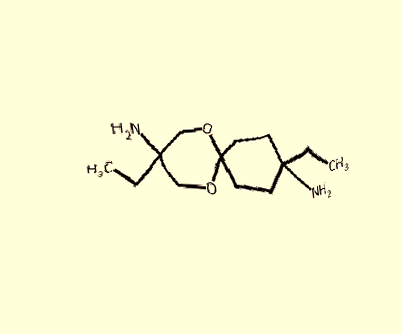 CCC1(N)CCC2(CC1)OCC(N)(CC)CO2